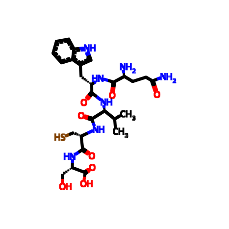 CC(C)[C@H](NC(=O)[C@H](Cc1c[nH]c2ccccc12)NC(=O)[C@@H](N)CCC(N)=O)C(=O)N[C@@H](CS)C(=O)N[C@@H](CO)C(=O)O